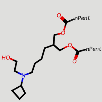 CCCCCC(=O)OCC(CCCCN(CCO)C1CCC1)COC(=O)CCCCC